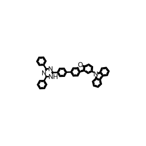 c1ccc(C2=NC(c3ccccc3)NC(c3ccc(-c4ccc5c(c4)oc4ccc(-n6c7ccccc7c7ccccc76)cc45)cc3)=N2)cc1